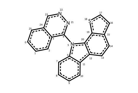 c1ccc2c(-n3c4ccccc4c4ccc5ccsc5c43)nncc2c1